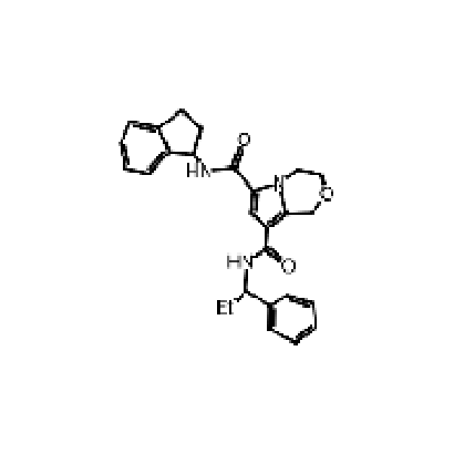 CC[C@@H](NC(=O)c1cc(C(=O)N[C@@H]2CCc3ccccc32)n2c1COCC2)c1ccccc1